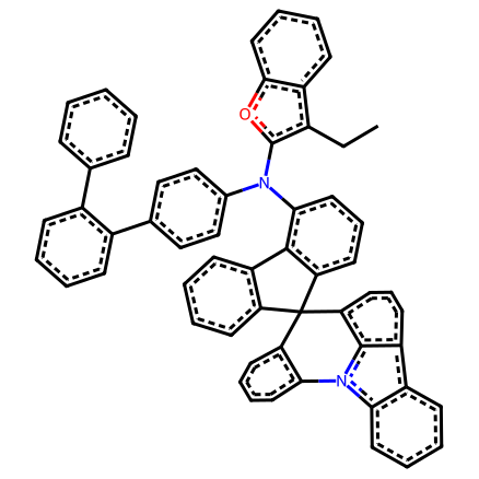 CCc1c(N(c2ccc(-c3ccccc3-c3ccccc3)cc2)c2cccc3c2-c2ccccc2C32c3ccccc3-n3c4ccccc4c4cccc2c43)oc2ccccc12